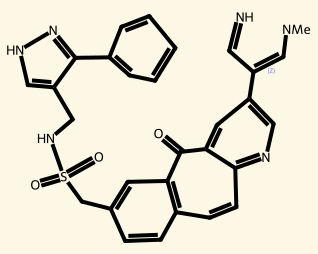 CN/C=C(\C=N)c1cnc2ccc3ccc(CS(=O)(=O)NCc4c[nH]nc4-c4ccccc4)cc3c(=O)c2c1